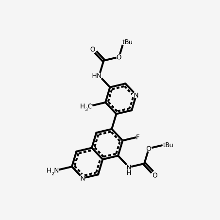 Cc1c(NC(=O)OC(C)(C)C)cncc1-c1cc2cc(N)ncc2c(NC(=O)OC(C)(C)C)c1F